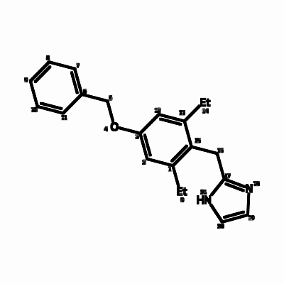 CCc1cc(OCc2ccccc2)cc(CC)c1Cc1ncc[nH]1